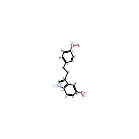 COc1ccc(CCc2c[nH]c3ccc(Br)cc23)cc1